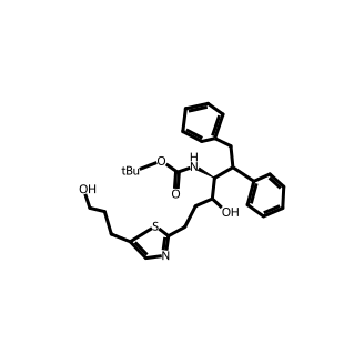 CC(C)(C)OC(=O)N[C@H](C(O)CCc1ncc(CCCO)s1)C(Cc1ccccc1)c1ccccc1